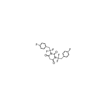 O=C1CC(=O)N(C(F)(F)Cc2ccc(F)cc2)C(=O)N1C(F)(F)Cc1ccc(F)cc1